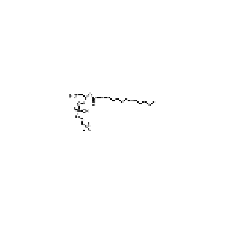 CCCCCCCCCCCCCC(=O)OC(CO)COP(=O)(O)OCC[N+](C)(C)C